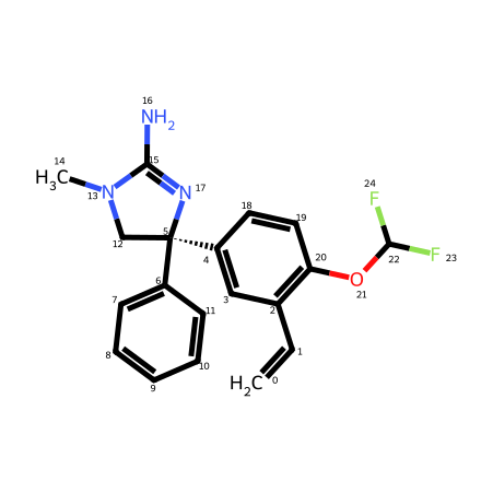 C=Cc1cc([C@]2(c3ccccc3)CN(C)C(N)=N2)ccc1OC(F)F